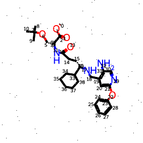 COC(=O)[C@@H](COC(C)(C)C)NC(=O)CC[C@H](NCc1cc(Oc2ccccc2)ncc1N)C1CCCCC1